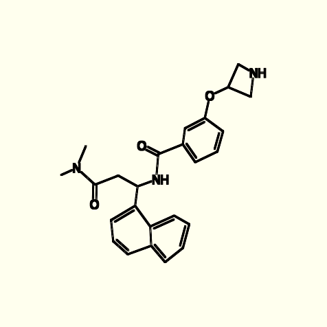 CN(C)C(=O)CC(NC(=O)c1cccc(OC2CNC2)c1)c1cccc2ccccc12